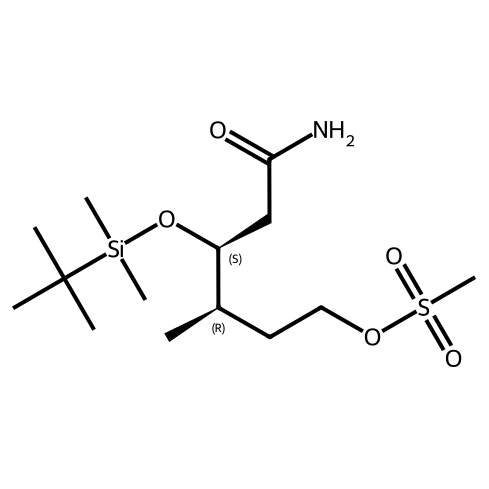 C[C@H](CCOS(C)(=O)=O)[C@H](CC(N)=O)O[Si](C)(C)C(C)(C)C